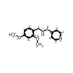 COc1ccc(CNSc2ccncc2)c(OC)c1